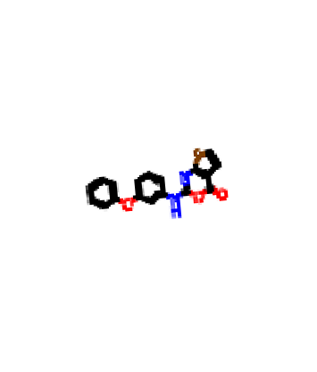 O=c1oc(Nc2cccc(Oc3ccccc3)c2)nc2sccc12